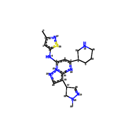 Cc1cc(Nc2cc(C3CCCNC3)nc3c(C4C=NN(C)C4)cnn23)sn1